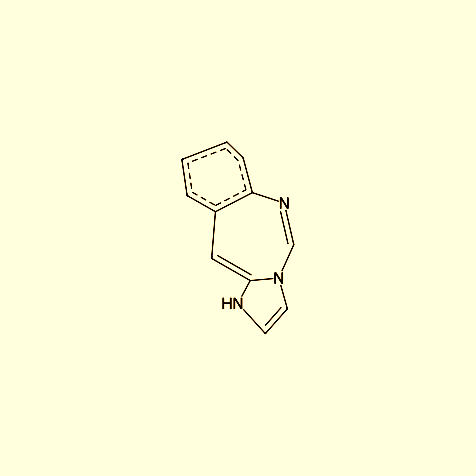 C1=CN2C=Nc3ccccc3C=C2N1